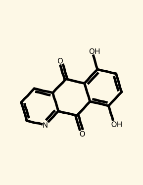 O=C1c2cccnc2C(=O)c2c(O)ccc(O)c21